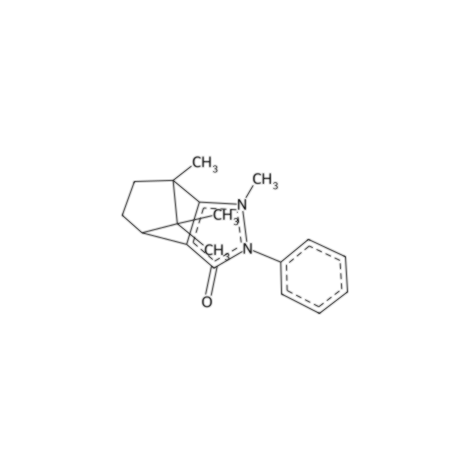 Cn1c2c(c(=O)n1-c1ccccc1)C1CCC2(C)C1(C)C